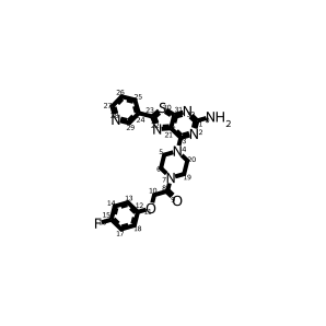 Nc1nc(N2CCN(C(=O)COc3ccc(F)cc3)CC2)c2nc(-c3cccnc3)sc2n1